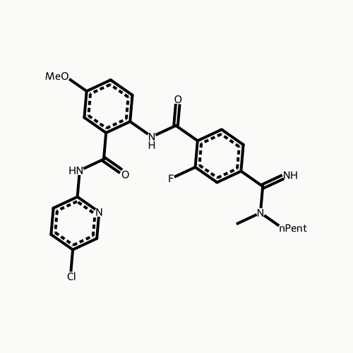 CCCCCN(C)C(=N)c1ccc(C(=O)Nc2ccc(OC)cc2C(=O)Nc2ccc(Cl)cn2)c(F)c1